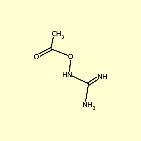 CC(=O)ONC(=N)N